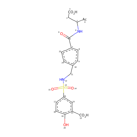 CC(=O)C(CC(=O)O)NC(=O)c1ccc(CNS(=O)(=O)c2ccc(O)c(C(=O)O)c2)cc1